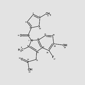 Cc1ccc(C(=O)n2c(C)c(CC(=O)O)c3c(F)c(O)ccc32)s1